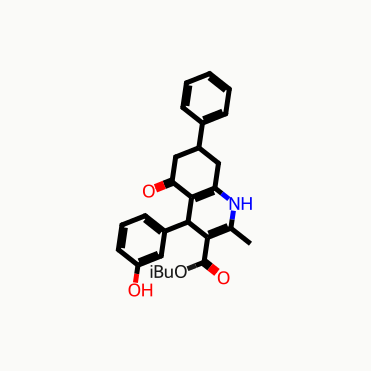 CC1=C(C(=O)OCC(C)C)C(c2cccc(O)c2)C2=C(CC(c3ccccc3)CC2=O)N1